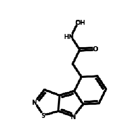 O=C(CC1C=CC=C2N=c3sncc3=C21)NO